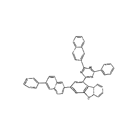 C1=CC2Oc3cc(-c4ccc5cc(-c6ccccc6)ccc5c4)cc(-c4nc(-c5ccccc5)nc(-c5ccc6ccccc6c5)n4)c3C2C=C1